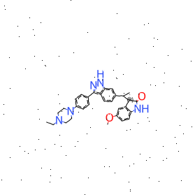 CCN1CCN(c2ccc(-c3n[nH]c4cc(C5C[C@@]56C(=O)Nc5ccc(OC)cc56)ccc34)cc2)CC1